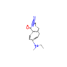 CCN(C)c1ccc2c(c1)CCNC2=O